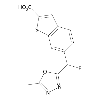 Cc1nnc(C(F)c2ccc3cc(C(=O)O)sc3c2)o1